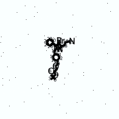 CC(C)(C)OC(=O)COCC1CCC(Cn2nc(CCC#N)c(Br)c2-c2ccccc2)CC1